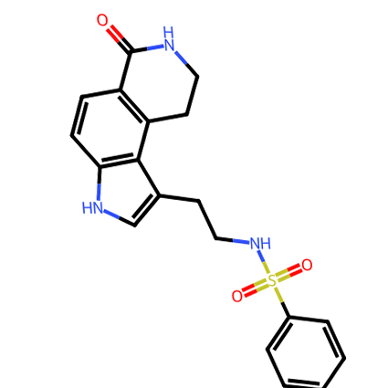 O=C1NCCc2c1ccc1[nH]cc(CCNS(=O)(=O)c3ccccc3)c21